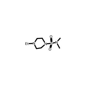 CCN1CCN(S(=O)(=O)N(C)C)CC1